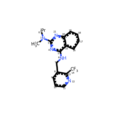 CC(C)N(C)c1nc(NCc2cccnc2C(F)(F)F)c2ccccc2n1